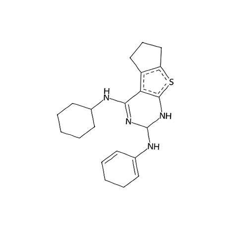 C1=CC(NC2N=C(NC3CCCCC3)c3c(sc4c3CCC4)N2)=CCC1